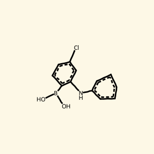 OB(O)c1ccc(Cl)cc1Nc1ccccc1